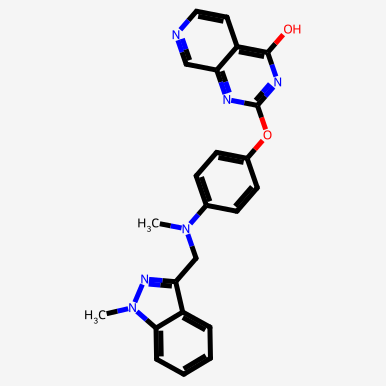 CN(Cc1nn(C)c2ccccc12)c1ccc(Oc2nc(O)c3ccncc3n2)cc1